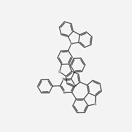 c1ccc(-c2nc(-c3ccccc3)nc(-c3cccc4sc5cccc(-c6ccc7oc8ccc(-n9c%10ccccc%10c%10ccccc%109)cc8c7c6)c5c34)n2)cc1